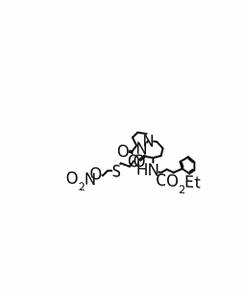 CCOC(=O)C(CCc1ccccc1)NC1CCCN2CCCC(C(=O)OCCSCCO[N+](=O)[O-])N2C1=O